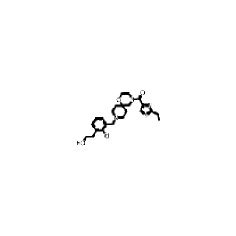 CCc1nc(C(=O)N2CCOC3(CCN(Cc4cccc(CCO)c4Cl)CC3)C2)cs1